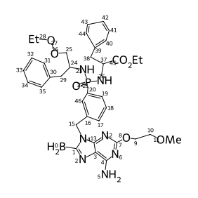 Bc1nc2c(N)nc(OCCOC)nc2n1Cc1cccc(P(=O)(NC(COOCC)Cc2ccccc2)NC(Cc2ccccc2)C(=O)OCC)c1